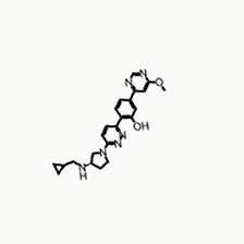 COc1cc(-c2ccc(-c3ccc(N4CC[C@@H](NCC5CC5)C4)nn3)c(O)c2)ncn1